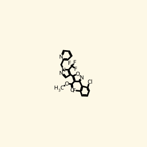 COC(=O)c1c(-c2c(F)cccc2Cl)noc1-c1cnn(Cc2ccccn2)c1C(F)(F)F